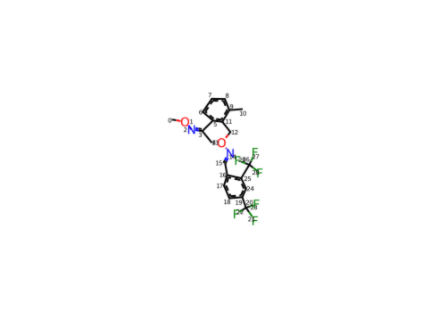 CO/N=C(/C)c1cccc(C)c1CO/N=C/c1ccc(C(F)(F)F)cc1C(F)(F)F